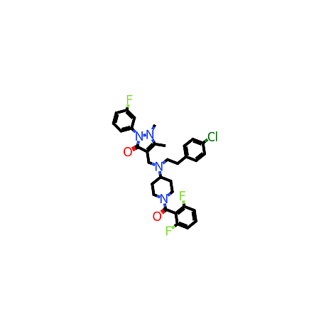 Cc1c(CN(CCc2ccc(Cl)cc2)C2CCN(C(=O)c3c(F)cccc3F)CC2)c(=O)n(-c2cccc(F)c2)n1C